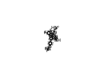 CNCCC(=O)OC(CN/C=N\N=N)(c1ccc(F)cc1F)C(F)(F)c1ccc(-c2ccc(OCC(F)(F)F)cc2)cn1